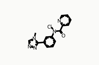 Cn1cnnc1-c1cccc(N(Cl)C(=O)c2ccccn2)c1